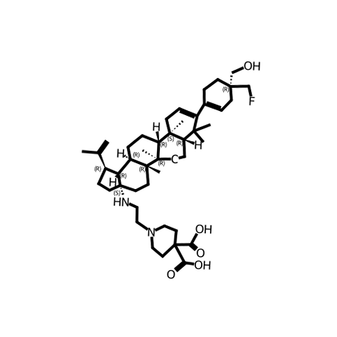 C=C(C)[C@@H]1CC[C@]2(NCCN3CCC(C(=O)O)(C(=O)O)CC3)CC[C@]3(C)[C@H](CC[C@@H]4[C@@]5(C)CC=C(C6=CC[C@](CO)(CF)CC6)C(C)(C)[C@@H]5CC[C@]43C)[C@@H]12